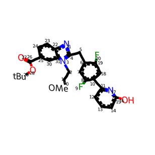 COCCn1c(Cc2cc(F)c(-c3cccc(O)n3)cc2F)nc2ccc(C(=O)OC(C)(C)C)cc21